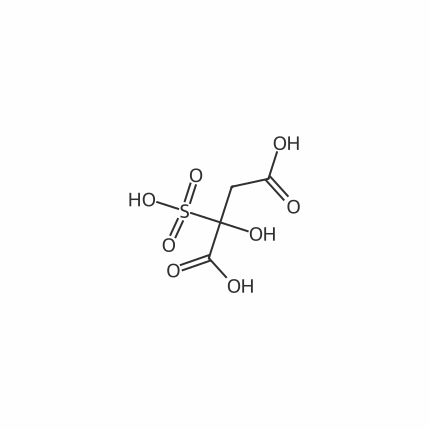 O=C(O)CC(O)(C(=O)O)S(=O)(=O)O